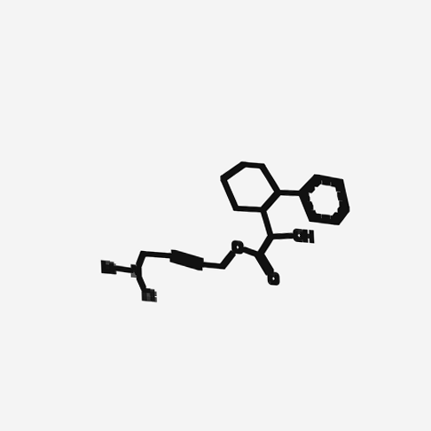 CCN(CC)CC#CCOC(=O)C(O)C1CCCCC1c1ccccc1